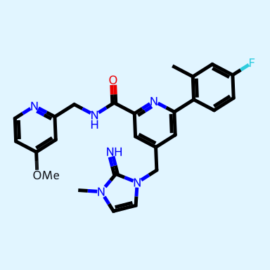 COc1ccnc(CNC(=O)c2cc(Cn3ccn(C)c3=N)cc(-c3ccc(F)cc3C)n2)c1